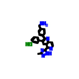 Cc1n[nH]c(-c2nccc3nc(-c4ccc(CN)cc4)c(-c4ccccc4)cc23)n1.Cl